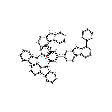 c1ccc(-c2cccc3c2oc2cc(-c4nc(-c5cccc6sc7ccccc7c56)nc(-n5c6ccccc6c6ccc7c8ccccc8n(-c8ccccc8)c7c65)n4)ccc23)cc1